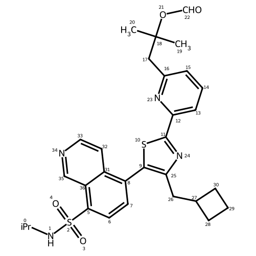 CC(C)NS(=O)(=O)c1ccc(-c2sc(-c3cccc(CC(C)(C)OC=O)n3)nc2CC2CCC2)c2ccncc12